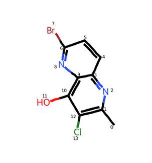 Cc1nc2ccc(Br)nc2c(O)c1Cl